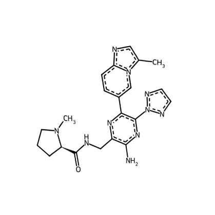 Cc1cnc2ccc(-c3nc(CNC(=O)[C@H]4CCCN4C)c(N)nc3-n3nccn3)cn12